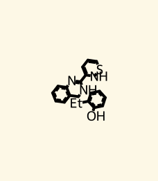 C1=CSNC(C2=Nc3ccccc3CN2)=C1.CCc1ccccc1O